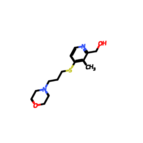 Cc1c(SCCCN2CCOCC2)ccnc1CO